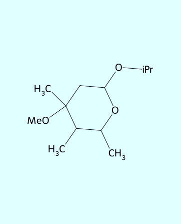 COC1(C)CC(OC(C)C)OC(C)C1C